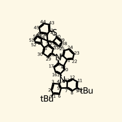 CC(C)(C)c1ccc2c(c1)c1cc(C(C)(C)C)ccc1n2-c1ccc2c(c1)c1ccccc1n2-c1ccc2c(c1)C1(c3ccccc3Sc3ccccc31)c1ccccc1-2